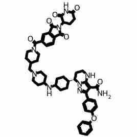 NC(=O)c1c(-c2ccc(Oc3ccccc3)cc2)nn2c1NCC[C@H]2C1CCC(NC2CCN(CC3CCN(C(=O)c4ccc5c(c4)C(=O)N(C4CCC(=O)NC4=O)C5=O)CC3)CC2)CC1